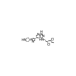 C=C/C(Cl)=C\C(Cl)=C/CNc1n[nH]c2ncc(-c3cnn(C4CCNCC4)c3)cc12